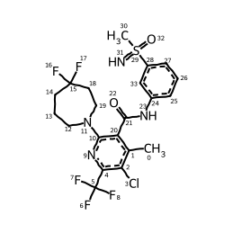 Cc1c(Cl)c(C(F)(F)F)nc(N2CCCC(F)(F)CC2)c1C(=O)Nc1cccc(S(C)(=N)=O)c1